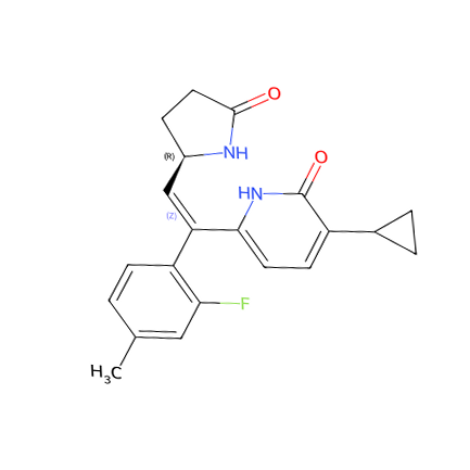 Cc1ccc(/C(=C/[C@H]2CCC(=O)N2)c2ccc(C3CC3)c(=O)[nH]2)c(F)c1